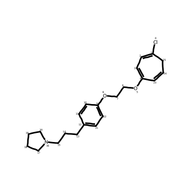 ClC1=CC=C(OCCOc2ccc(CCCN3CCCC3)cc2)C=CC1